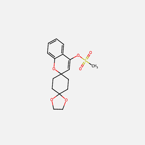 CS(=O)(=O)OC1=CC2(CCC3(CC2)OCCO3)Oc2ccccc21